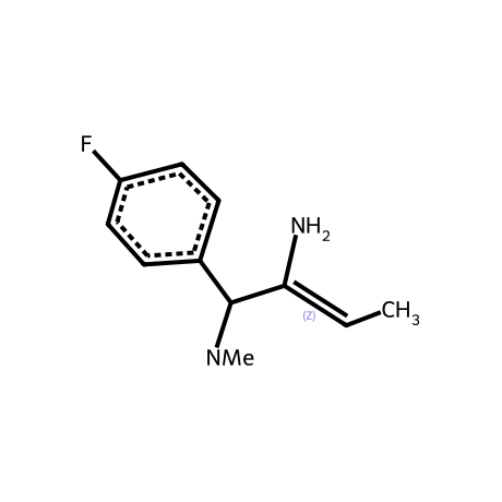 C/C=C(\N)C(NC)c1ccc(F)cc1